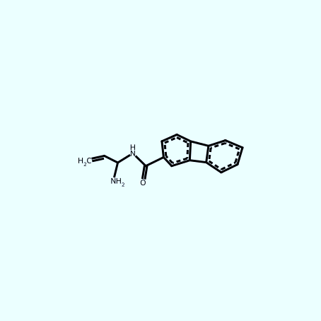 C=CC(N)NC(=O)c1ccc2c(c1)-c1ccccc1-2